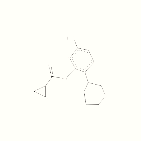 Cc1ccc(C2CCCOC2)c(OC(=O)C2CC2)c1